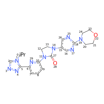 CC(C)n1cnnc1-c1cccc(N2CCN(c3cnc(N4CCOCC4)nc3)C2=O)n1